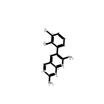 Nc1ncc2cc(-c3cccc(Cl)c3Cl)c(N)nc2n1